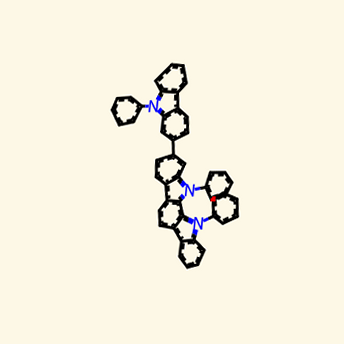 c1ccc(-n2c3ccccc3c3ccc(-c4ccc5c6ccc7c8ccccc8n(-c8ccccc8)c7c6n(-c6ccccc6)c5c4)cc32)cc1